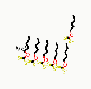 CCCCCOC(=S)[S-].CCCCCOC(=S)[S-].CCCCCOC(=S)[S-].CCCCCOC(=S)[S-].CCCCCOC(=S)[S-].CCCCCOC(=S)[S-].[Mo+6]